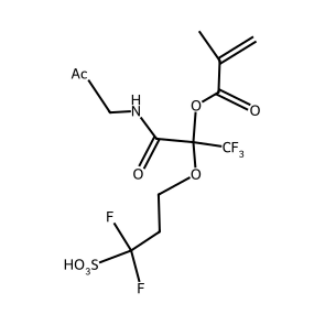 C=C(C)C(=O)OC(OCCC(F)(F)S(=O)(=O)O)(C(=O)NCC(C)=O)C(F)(F)F